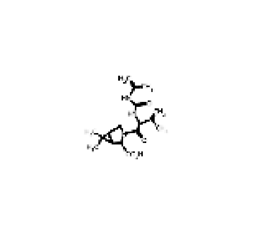 C=C(C)NC(=O)NC(C(=C)C)C(=O)N1CC2C(C1C(=O)O)C2(C)C